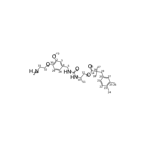 COc1cc(CNC(=O)NC(C)COC(=O)C(C)(C)Cc2ccc(C)c(C)c2)ccc1OCCN